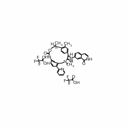 Cc1cc2ccc1[C@@H](C)COC(=O)Nc1ccc(-c3ccccn3)c(c1)CN(C)C(=O)[C@@H]2Nc1ccc2cc[nH]c(=O)c2c1.O=C(O)C(F)(F)F.O=C(O)C(F)(F)F